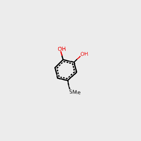 CSc1ccc(O)c(O)c1